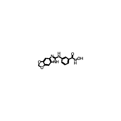 O=C(NO)c1cccc(Nc2nc3cc4c(cc3[nH]2)OCO4)c1